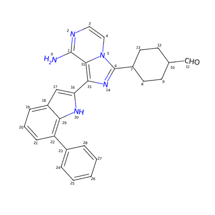 Nc1nccn2c(C3CCC(C=O)CC3)nc(-c3cc4cccc(-c5ccccc5)c4[nH]3)c12